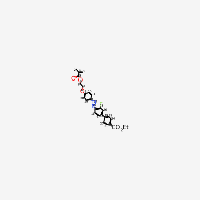 C=C(C)C(=O)OCCOc1ccc(/N=N/c2ccc(-c3ccc(C(=O)OCC)cc3)cc2F)cc1